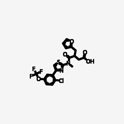 CN(C(=O)C(CC(=O)O)Cc1ccco1)c1nc(-c2cc(OC(F)(F)F)ccc2Cl)cs1